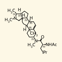 CC(=O)N[C@@H](CC(C)C)C(=O)N(C)[C@H]1CC[C@@]2(C)C(=CC[C@H]3[C@@H]4CC[C@@H]5[C@H](C)N(C)C[C@@]54CC[C@@H]32)C1